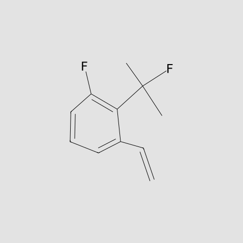 C=Cc1cccc(F)c1C(C)(C)F